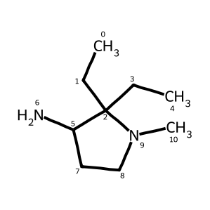 CCC1(CC)C(N)CCN1C